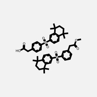 CC1(C)CCC(C)(C)c2cc(S(=O)(=O)c3ccc(CC(=O)O)cc3)ccc21.COC(=O)Cc1cccc(S(=O)(=O)c2ccc3c(c2)C(C)(C)CCC3(C)C)c1